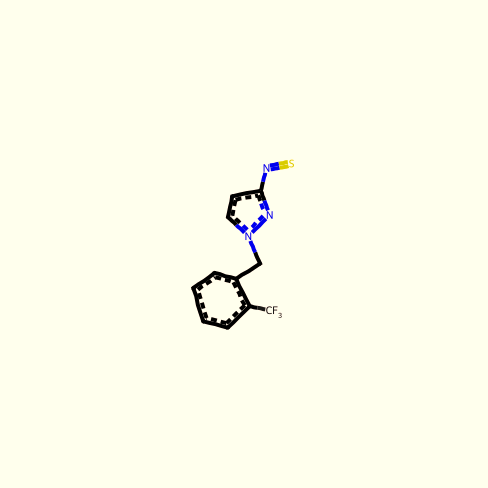 FC(F)(F)c1ccccc1Cn1ccc(N=S)n1